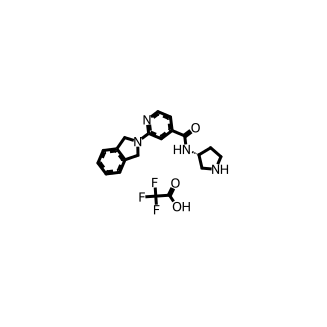 O=C(N[C@@H]1CCNC1)c1ccnc(N2Cc3ccccc3C2)c1.O=C(O)C(F)(F)F